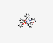 COc1ccccc1S(=O)(=O)N1Cc2ccccc2C(=O)N(C)CC1Cc1ccccc1